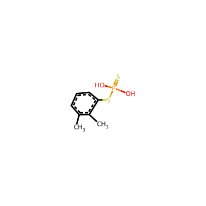 Cc1cccc(SP(O)(O)=S)c1C